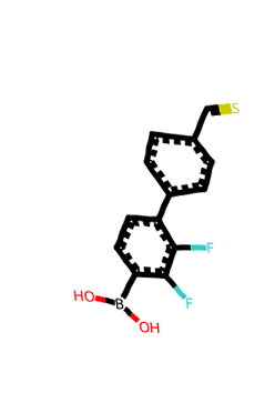 OB(O)c1ccc(-c2ccc(C=S)cc2)c(F)c1F